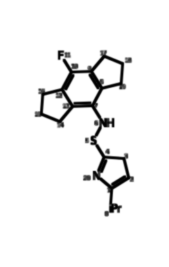 CC(C)C1=CCC(SNc2c3c(c(F)c4c2CCC4)CCC3)=N1